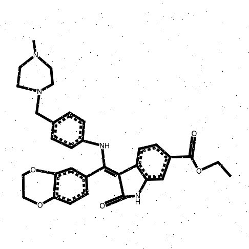 CCOC(=O)c1ccc2c(c1)NC(=O)C2=C(Nc1ccc(CN2CCN(C)CC2)cc1)c1ccc2c(c1)OCCO2